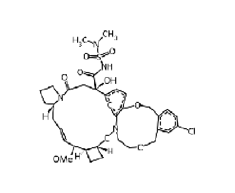 CO[C@H]1/C=C/C[C@@H]2CCCN2C(=O)C[C@](O)(C(=O)NS(=O)(=O)N(C)C)c2ccc3c(c2)N(CCCCc2cc(Cl)ccc2CO3)C[C@@H]2CC[C@H]21